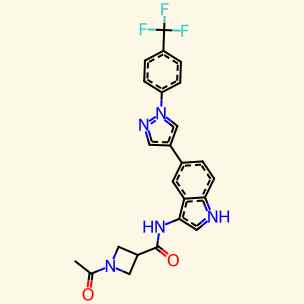 CC(=O)N1CC(C(=O)Nc2c[nH]c3ccc(-c4cnn(-c5ccc(C(F)(F)F)cc5)c4)cc23)C1